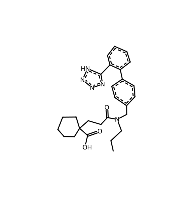 CCCN(Cc1ccc(-c2ccccc2-c2nnn[nH]2)cc1)C(=O)CCC1(C(=O)O)CCCCC1